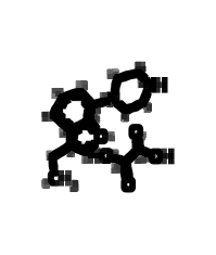 CCc1coc2c(N3CCNCC3)cccc12.O=C(O)C(=O)O